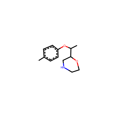 [CH2]c1ccc(OC(C)C2CNCCO2)cc1